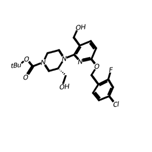 CC(C)(C)OC(=O)N1CCN(c2nc(OCc3ccc(Cl)cc3F)ccc2CO)[C@H](CO)C1